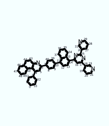 c1ccc(-c2cc(-c3ccc(-c4ccc(-c5cc(-c6cccnc6)nc(-c6cccnc6)n5)c5ccccc45)cc3)nc3ccc4ccccc4c23)cc1